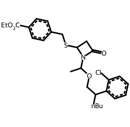 CCCCC(COC(C)N1C(=O)CC1SCc1ccc(C(=O)OCC)cc1)c1ccccc1Cl